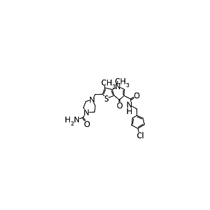 Cc1c(CN2CCN(C(N)=O)CC2)sc2c(=O)c(C(=O)NCc3ccc(Cl)cc3)cn(C)c12